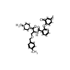 Cc1ccc(COCC(NC(=O)c2cccnc2Oc2ccc(F)cc2Cl)C(=O)N2CCN(C)CC2)cc1